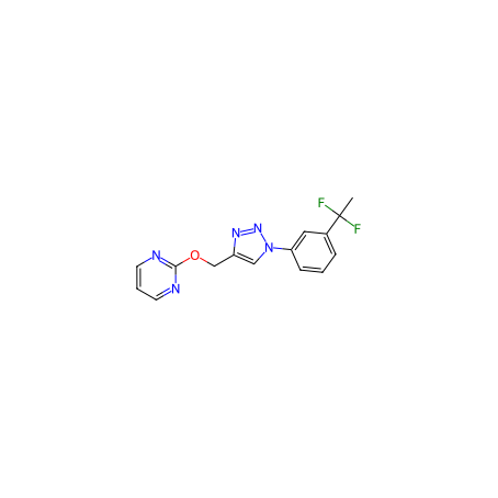 CC(F)(F)c1cccc(-n2cc(COc3ncccn3)nn2)c1